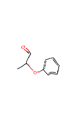 CC(C=O)Oc1ccccc1